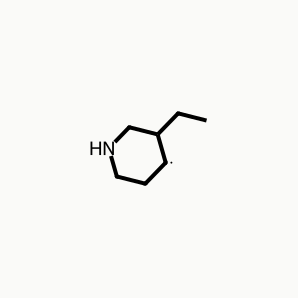 CCC1[CH]CCNC1